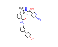 CC(C)(Cc1cccc(C(=O)NCc2cccc(-c3ccc(O)cc3)c2)c1)NC[C@H](O)c1ccc(N)nc1